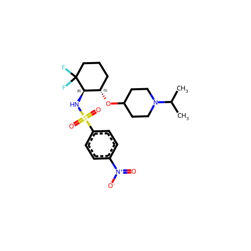 CC(C)N1CCC(O[C@H]2CCCC(F)(F)[C@@H]2NS(=O)(=O)c2ccc([N+](=O)[O-])cc2)CC1